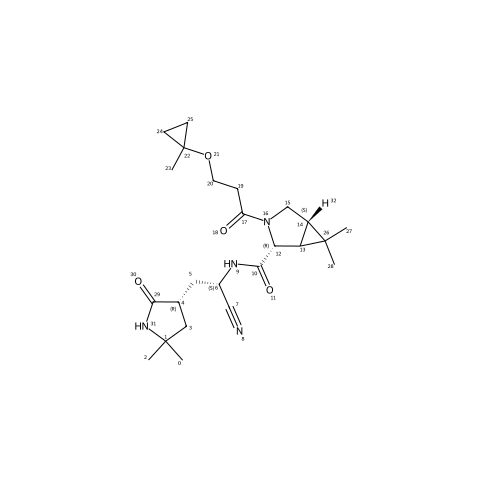 CC1(C)C[C@@H](C[C@@H](C#N)NC(=O)[C@H]2C3[C@H](CN2C(=O)CCOC2(C)CC2)C3(C)C)C(=O)N1